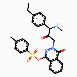 CCc1ccc(C(NC)C(=O)Cn2nc(OS(=O)(=O)c3ccc(C)cc3)c3ccccc3c2=O)cc1